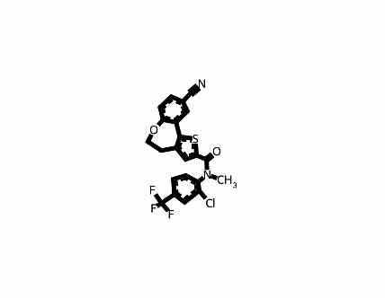 CN(C(=O)c1cc2c(s1)-c1cc(C#N)ccc1OCC2)c1ccc(C(F)(F)F)cc1Cl